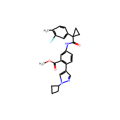 COC(=O)c1cc(NC(=O)C2(c3ccc(C)c(F)c3)CC2)ccc1-c1cnn(C2CCC2)c1